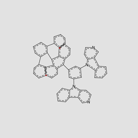 c1ccc(-c2cccc(-c3ccccc3)c2-c2c3ccccc3c(-c3cc(-n4c5ccccc5c5cnccc54)cc(-n4c5ccccc5c5cnccc54)c3)c3ccccc23)cc1